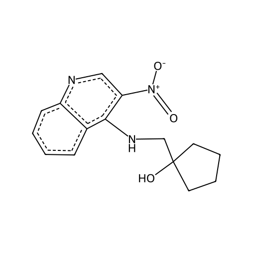 O=[N+]([O-])c1cnc2ccccc2c1NCC1(O)CCCC1